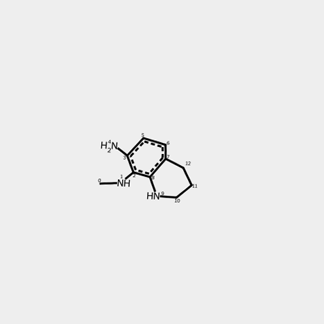 CNc1c(N)ccc2c1NCCC2